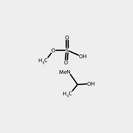 CNC(C)O.COS(=O)(=O)O